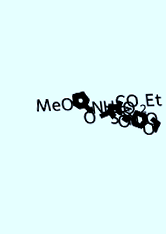 CCOC(=O)c1cc(CNC(=O)c2cccc(OC)c2)sc1S(=O)(=O)N1CCC2(CC1)OCCO2